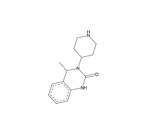 CC1c2ccccc2NC(=O)N1C1CCNCC1